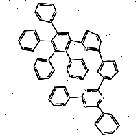 c1ccc(-c2nc(-c3ccccc3)nc(-c3cccc(-c4cccc(-c5cc(-c6ccccc6)c(-c6ccccc6)c(-c6ccccc6)c5-c5ccccc5)n4)c3)n2)cc1